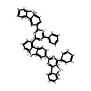 c1ccc(-c2nc(-c3ccc4oc5ccccc5c4c3)nc(-c3cccc4sc5cc(-c6nc(-c7ccccc7)c7sc8ccccc8c7n6)ccc5c34)n2)cc1